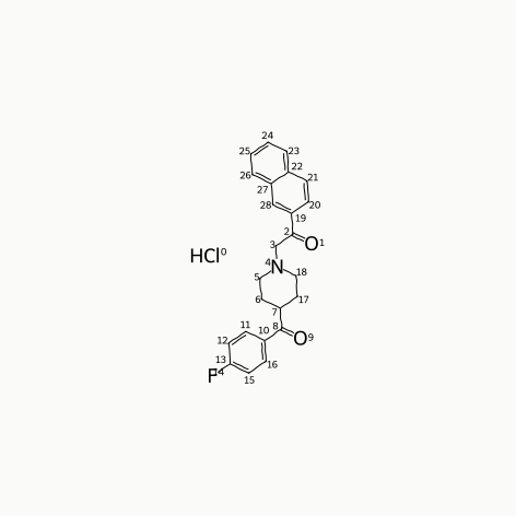 Cl.O=C(CN1CCC(C(=O)c2ccc(F)cc2)CC1)c1ccc2ccccc2c1